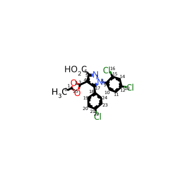 CC1OC(c2c(C(=O)O)nn(-c3ccc(Cl)cc3Cl)c2-c2ccc(Cl)cc2)O1